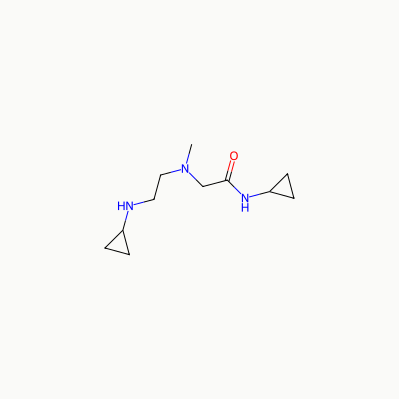 CN(CCNC1CC1)CC(=O)NC1CC1